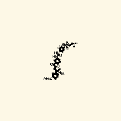 CCn1c(C)c(/C=C2\Oc3ccc(NC(=O)Nc4ccc(S(=O)(=O)N(C)CCN(C)C)cc4)cc3C2=O)c2cc(OC)ccc21